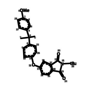 COc1ccc(C(C)(C)c2ccc(Oc3ccc4c(c3)C(=O)N(C(C)(C)C)C4=O)cc2)cc1